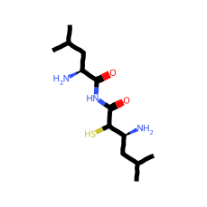 CC(C)C[C@H](N)C(=O)NC(=O)C(S)[C@@H](N)CC(C)C